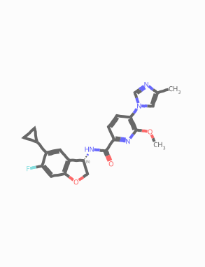 COc1nc(C(=O)N[C@@H]2COc3cc(F)c(C4CC4)cc32)ccc1-n1cnc(C)c1